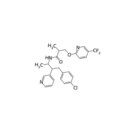 CC(COc1ccc(C(F)(F)F)cn1)C(=O)NC(C)C(Cc1ccc(Cl)cc1)c1cccnc1